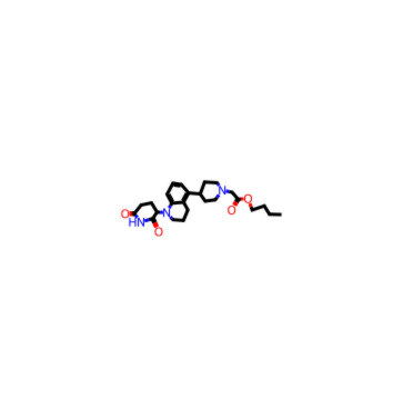 CCCCOC(=O)CN1CCC(c2cccc3c2CCCN3C2CCC(=O)NC2=O)CC1